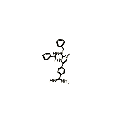 Cn1cc(-c2ccc(C(=N)N)cc2)nc1[C@H](Cc1ccccc1)NC(=O)c1ccccc1